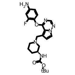 CC(C)(C)OC(=O)N[C@H]1CCCN(Cc2ccn3ncnc(Oc4ccc(N)cc4F)c23)C1